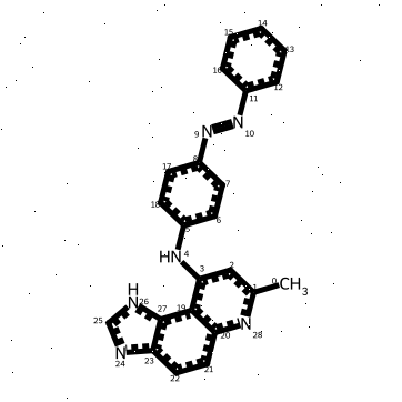 Cc1cc(Nc2ccc(N=Nc3ccccc3)cc2)c2c(ccc3nc[nH]c32)n1